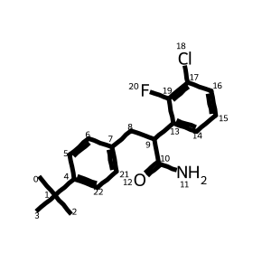 CC(C)(C)c1ccc(CC(C(N)=O)c2cccc(Cl)c2F)cc1